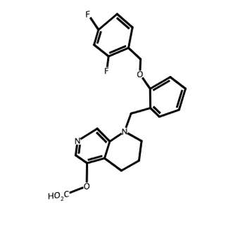 O=C(O)Oc1cncc2c1CCCN2Cc1ccccc1OCc1ccc(F)cc1F